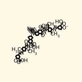 COc1cc(N=Nc2ccc([O-])c(C(=O)O)c2)c(C)cc1N=Nc1c(S(=O)(=O)O)cc2cc(Nc3ccc4c([O-])c(N=Nc5cc(C)c(N=Nc6ccc([O-])c(C(=O)O)c6)cc5OC)c(S(=O)(=O)O)cc4c3)ccc2c1[O-].[Na+].[Na+].[Na+].[Na+]